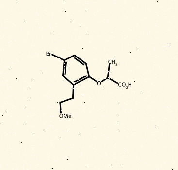 COCCc1cc(Br)ccc1OC(C)C(=O)O